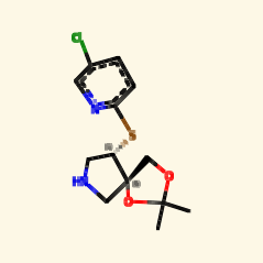 CC1(C)OC[C@]2(CNC[C@@H]2Sc2ccc(Cl)cn2)O1